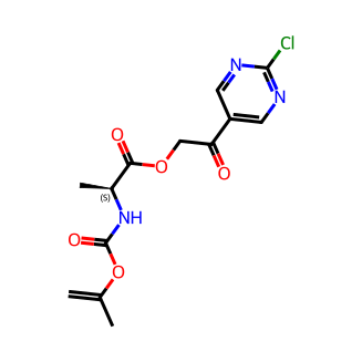 C=C(C)OC(=O)N[C@@H](C)C(=O)OCC(=O)c1cnc(Cl)nc1